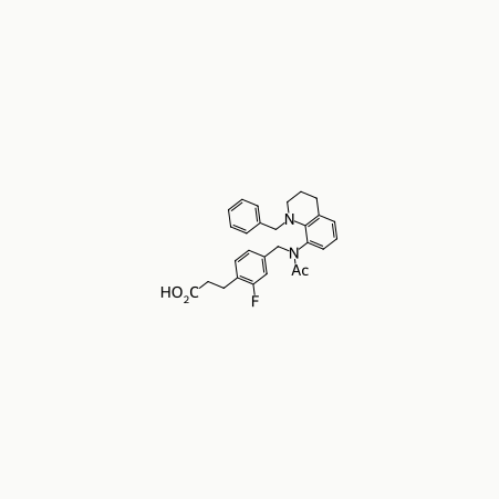 CC(=O)N(Cc1ccc(CCC(=O)O)c(F)c1)c1cccc2c1N(Cc1ccccc1)CCC2